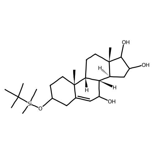 CC(C)(C)[Si](C)(C)OC1CC[C@@]2(C)C(=CC(O)[C@@H]3[C@H]2CC[C@]2(C)C(O)C(O)C[C@@H]32)C1